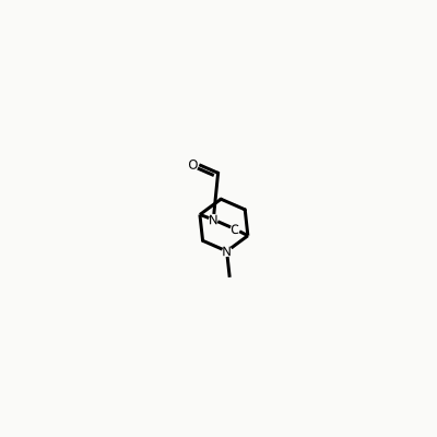 CN1CC2CCC1CN2C=O